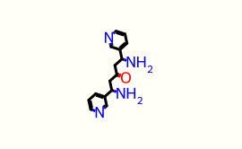 NC(CC(=O)CC(N)c1cccnc1)c1cccnc1